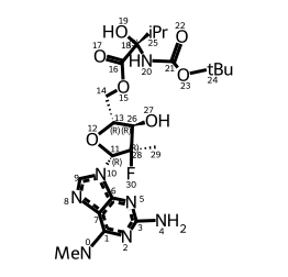 CNc1nc(N)nc2c1ncn2[C@@H]1O[C@H](COC(=O)[C@](O)(NC(=O)OC(C)(C)C)C(C)C)[C@@H](O)[C@@]1(C)F